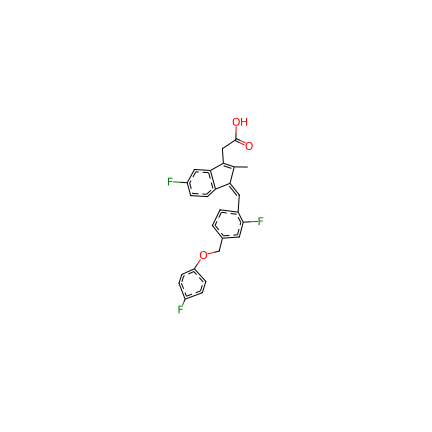 CC1=C(CC(=O)O)c2cc(F)ccc2/C1=C\c1ccc(COc2ccc(F)cc2)cc1F